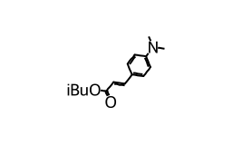 CC(C)COC(=O)C=Cc1ccc(N(C)C)cc1